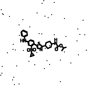 CC(C)OC(=O)NC1CCC(c2ncc(-c3ccc(Nc4ccccc4)cc3S(=O)(=O)C3CC3)s2)CC1